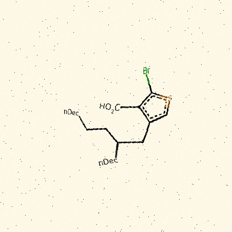 CCCCCCCCCCCCC(CCCCCCCCCC)Cc1csc(Br)c1C(=O)O